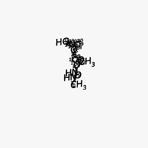 CCCNC(=O)NCCOc1ccc(CCOC2CCCCC2N2CC[C@@H](O)C2)cc1OC